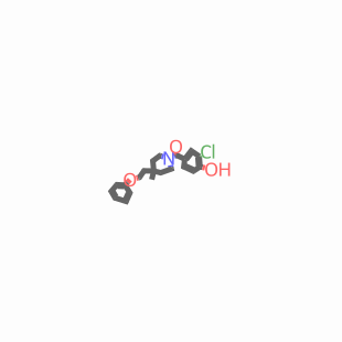 CC1(CCOc2ccccc2)CCN(C(=O)c2ccc(O)c(Cl)c2)CC1